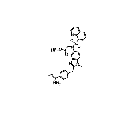 COC(=O)CN(c1ccc2c(c1)nc(Cc1ccc(C(=N)N)cc1)n2C)S(=O)(=O)c1cccc2cccnc12.Cl